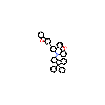 c1ccc(C2(c3ccccc3)c3ccccc3-c3c(N(c4ccc(-c5ccc6c(c5)oc5ccccc56)cc4)c4cccc5oc6ccccc6c45)cccc32)cc1